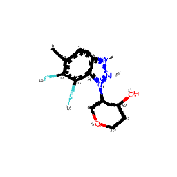 Cc1cc2nnn(C3COCCC3O)c2c(F)c1F